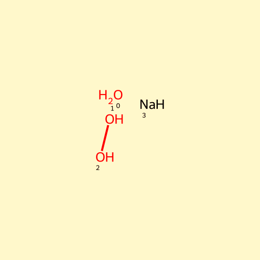 O.OO.[NaH]